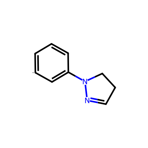 [c]1cccc(N2CCC=N2)c1